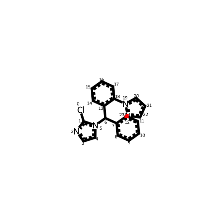 Clc1nccn1C(c1ccccc1)c1ccccc1-n1cccn1